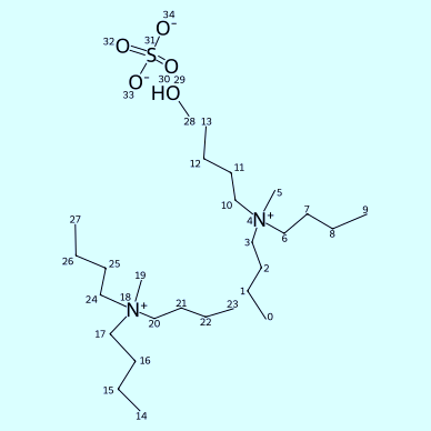 CCCC[N+](C)(CCCC)CCCC.CCCC[N+](C)(CCCC)CCCC.CO.O=S(=O)([O-])[O-]